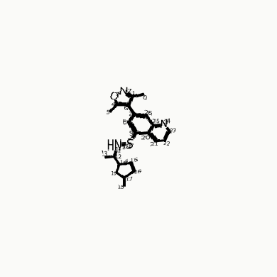 Cc1noc(C)c1-c1cc(SNC(C)C2CCC(C)C2)c2cccnc2c1